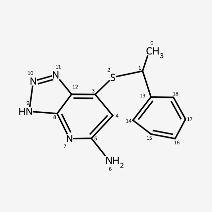 CC(Sc1cc(N)nc2[nH]nnc12)c1ccccc1